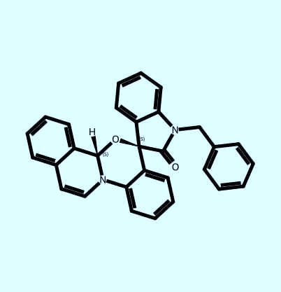 O=C1N(Cc2ccccc2)c2ccccc2[C@]12O[C@H]1c3ccccc3C=CN1c1ccccc12